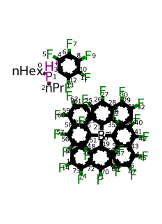 CCCCCC[PH+](CCC)c1c(F)c(F)c(F)c(F)c1F.Fc1ccc2c([B-](c3c(F)c(F)c(F)c4c(F)c(F)ccc34)(c3c(F)c(F)c(F)c4c(F)c(F)ccc34)c3c(F)c(F)c(F)c4c(F)c(F)ccc34)c(F)c(F)c(F)c2c1F